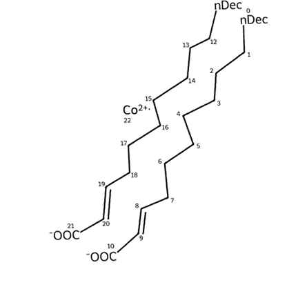 CCCCCCCCCCCCCCCCCC=CC(=O)[O-].CCCCCCCCCCCCCCCCCC=CC(=O)[O-].[Co+2]